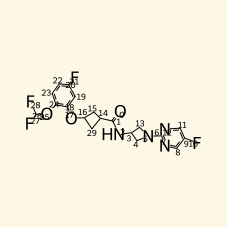 O=C(NC1CN(c2ncc(F)cn2)C1)C1CC(Oc2cc(F)ccc2OC(F)F)C1